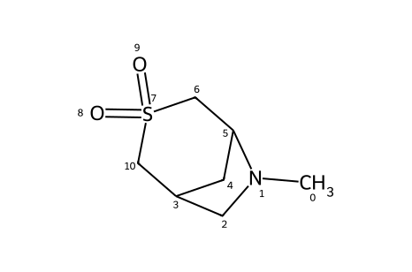 CN1CC2CC1CS(=O)(=O)C2